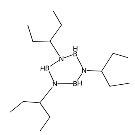 CCC(CC)N1BN(C(CC)CC)BN(C(CC)CC)B1